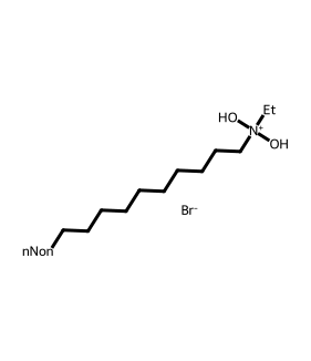 CCCCCCCCCCCCCCCCCCC[N+](O)(O)CC.[Br-]